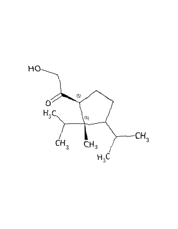 CC(C)C1CC[C@H](C(=O)CO)[C@@]1(C)C(C)C